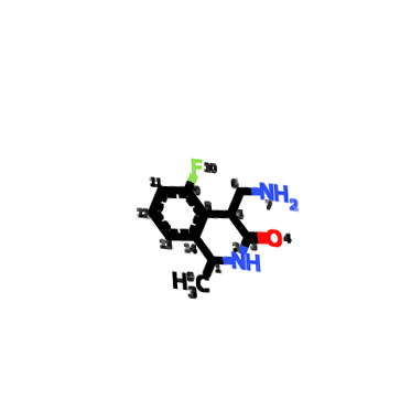 CC1NC(=O)C(CN)c2c(F)cccc21